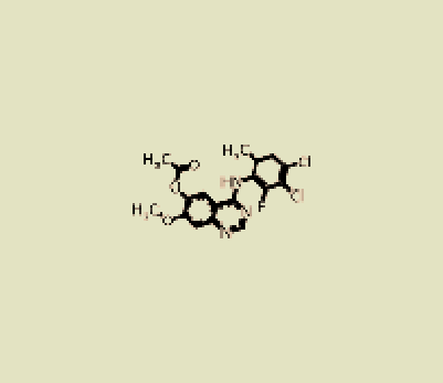 COc1cc2ncnc(NC3=C(F)C(Cl)=C(Cl)CC3C)c2cc1OC(C)=O